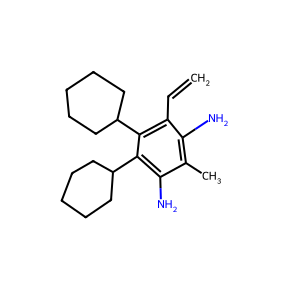 C=Cc1c(N)c(C)c(N)c(C2CCCCC2)c1C1CCCCC1